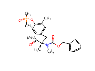 COC(=O)[C@](C)(Cc1ccc(OP(C)(C)=O)c(C)c1)N(C)C(=O)OCc1ccccc1